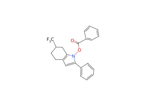 O=C(On1c(-c2ccccc2)cc2c1CC(C(F)(F)F)CC2)c1ccccc1